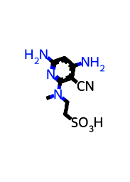 CN(CCS(=O)(=O)O)c1nc(N)cc(N)c1C#N